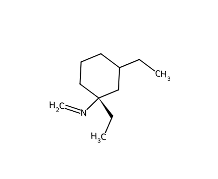 C=N[C@]1(CC)CCCC(CC)C1